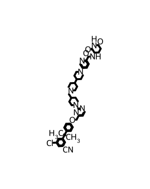 CC(C)(c1ccc(OCc2ccnc(N3CCC(CN4CCC(C5CCN(c6ccc(C(=O)NC7CCC(=O)NC7=O)nc6)CC5)CC4)CC3)n2)cc1)c1cc(Cl)cc(C#N)c1